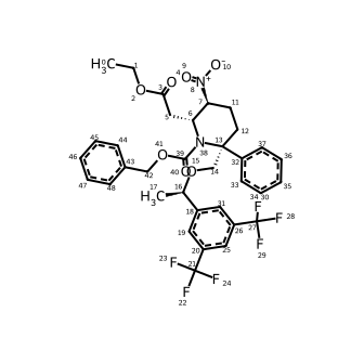 CCOC(=O)C[C@@H]1[C@@H]([N+](=O)[O-])CC[C@@](CO[C@H](C)c2cc(C(F)(F)F)cc(C(F)(F)F)c2)(c2ccccc2)N1C(=O)OCc1ccccc1